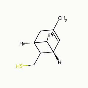 CC1=C[C@@H]2C(CS)[C@@H](C1)C2C(C)C